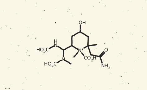 CN(C(=O)O)C(NC(=O)O)C1CC(O)CC(C)(CC(N)=O)[N+]1(C)C(=O)O